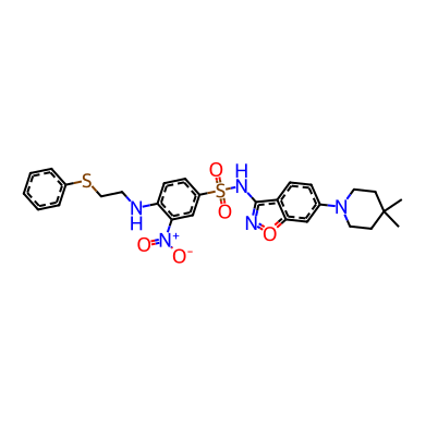 CC1(C)CCN(c2ccc3c(NS(=O)(=O)c4ccc(NCCSc5ccccc5)c([N+](=O)[O-])c4)noc3c2)CC1